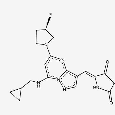 O=C1NC(=O)/C(=C/c2cnn3c(NCC4CC4)cc(N4CC[C@@H](F)C4)nc23)N1